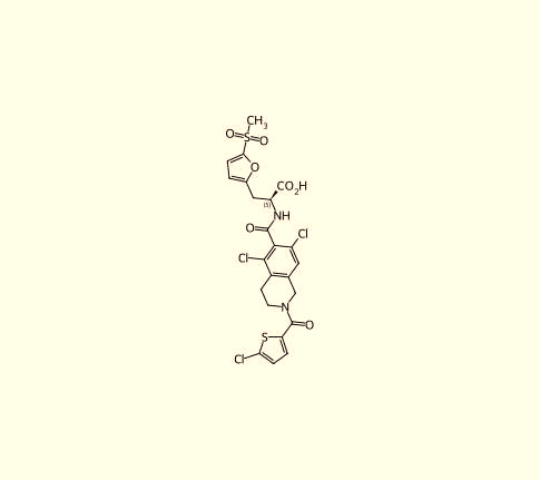 CS(=O)(=O)c1ccc(C[C@H](NC(=O)c2c(Cl)cc3c(c2Cl)CCN(C(=O)c2ccc(Cl)s2)C3)C(=O)O)o1